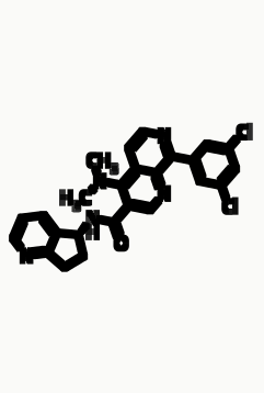 CN(C)c1c(C(=O)N[C@H]2CCc3ncccc32)cnc2c(-c3cc(Cl)cc(Cl)c3)nccc12